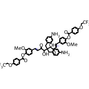 COc1cc(/C=C/C(=O)C(O)C(Cc2ccc(N)cc2)(Cc2ccc(N)cc2)C(O)C(=O)/C=C/c2ccc(OC(=O)c3ccc(OCC(F)(F)F)cc3)c(OC)c2)ccc1OC(=O)c1ccc(OCC(F)(F)F)cc1